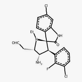 CCN1[C@@H](CC=O)[C@@H](N)[C@H](c2cccc(Cl)c2F)[C@]12C(=O)Nc1cc(Cl)ccc12